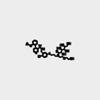 O=C([C@@H](O)[C@@H](O)[C@H](O)[C@@H](O)CO)N(CCCSc1ccc(Cl)c(CNC2(c3cnccc3-c3ccccc3OC3CC3)CC2)c1)CCOCCO